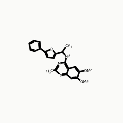 COc1cc2nc(C)nc(NC(C)c3ccc(-c4ccccc4)o3)c2cc1OC